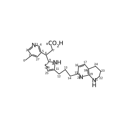 Cc1cncc(C(CC(=O)O)C2NC(CCCc3ccc4c(n3)NCCC4)=CS2)c1